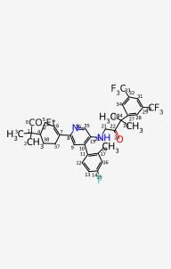 CCOC(=O)C(C)(C)C1CC=C(c2cc(-c3ccc(F)cc3C)c(NCC(=O)C(C)(C)c3cc(C(F)(F)F)cc(C(F)(F)F)c3)cn2)CC1